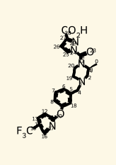 C[C@H]1CN(Cc2cccc(Oc3ccc(C(F)(F)F)cn3)c2)CCN1C(=O)n1ccc(C(=O)O)n1